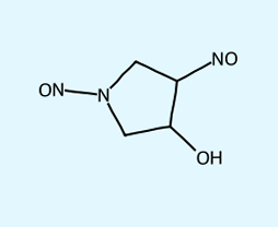 O=NC1CN(N=O)CC1O